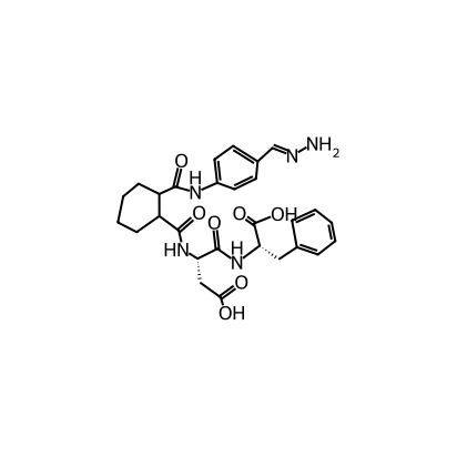 NN=Cc1ccc(NC(=O)C2CCCCC2C(=O)N[C@@H](CC(=O)O)C(=O)N[C@@H](Cc2ccccc2)C(=O)O)cc1